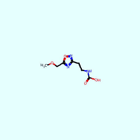 COCc1nc(CCNC(=O)O)no1